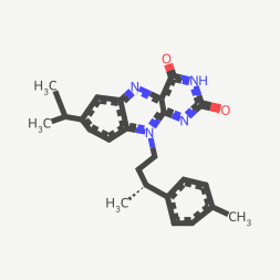 Cc1ccc([C@H](C)CCn2c3nc(=O)[nH]c(=O)c-3nc3cc(C(C)C)ccc32)cc1